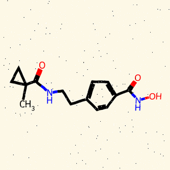 CC1(C(=O)NCCc2ccc(C(=O)NO)cc2)CC1